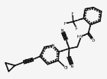 N#CC(C#N)(CNC(=O)c1ccccc1C(F)(F)F)c1ncc(C#CC2CC2)cc1Cl